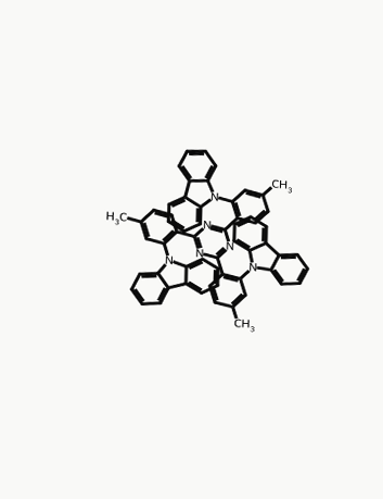 Cc1ccc(-c2nc(-c3ccc(C)cc3-n3c4ccccc4c4ccccc43)nc(-c3ccc(C)cc3-n3c4ccccc4c4ccccc43)n2)c(-n2c3ccccc3c3ccccc32)c1